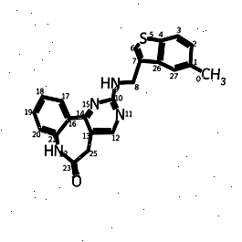 Cc1ccc2scc(CNc3ncc4c(n3)-c3ccccc3NC(=O)C4)c2c1